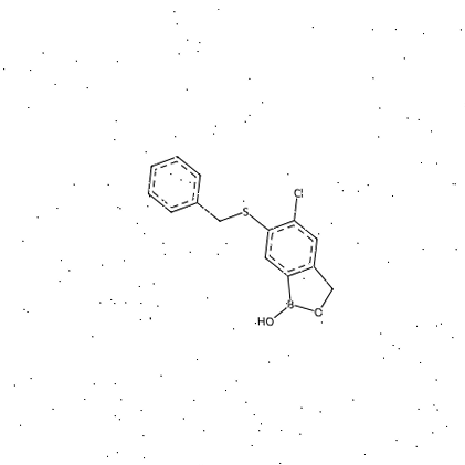 OB1OCc2cc(Cl)c(SCc3ccccc3)cc21